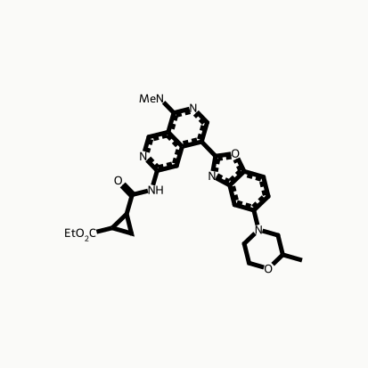 CCOC(=O)C1CC1C(=O)Nc1cc2c(-c3nc4cc(N5CCOC(C)C5)ccc4o3)cnc(NC)c2cn1